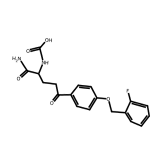 NC(=O)C(CCC(=O)c1ccc(OCc2ccccc2F)cc1)NC(=O)O